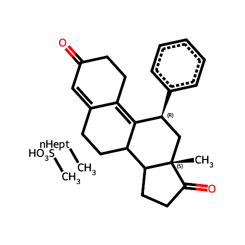 CCCCCCCC.CS(=O)(=O)O.C[C@]12C[C@H](c3ccccc3)C3=C4CCC(=O)C=C4CCC3C1CCC2=O